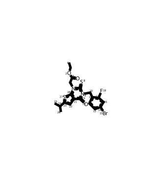 CCOC(=O)Cn1c(=S)n(Cc2ccc(Br)cc2F)c(=O)c2cc(C(C)C)sc21